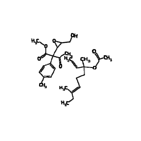 C=CC(C)(CC/C=C(\C)CC)OC(C)=O.COC(=O)C(C(C)=O)(c1ccc(C)cc1)C1OC1CO